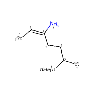 CCC/C=C(/N)CCC(CC)CCCCCCC